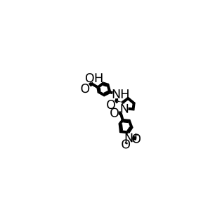 O=C(O)c1ccc(NC(=O)[C@@H]2CCCN2C(=O)c2ccc([N+](=O)[O-])cc2)cc1